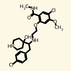 CNC(=O)c1cc(Cl)c(OC)cc1OCCNC(Cc1ccc(Cl)cc1)C1(O)CCNCC1